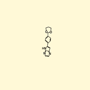 c1cnc2[nH]c(-c3ccc(C4OCCCO4)cc3)cc2n1